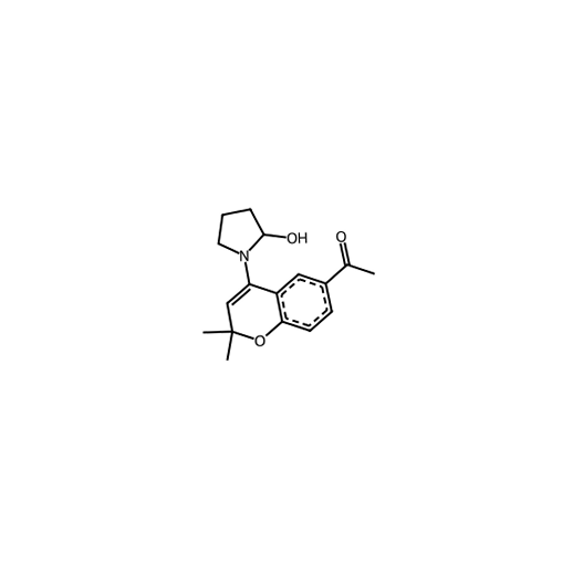 CC(=O)c1ccc2c(c1)C(N1CCCC1O)=CC(C)(C)O2